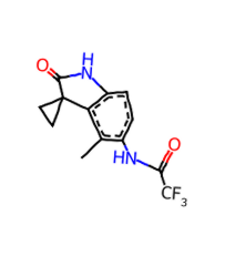 Cc1c(NC(=O)C(F)(F)F)ccc2c1C1(CC1)C(=O)N2